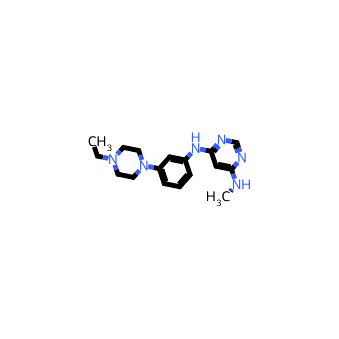 CCN1CCN(c2cccc(Nc3cc(NC)ncn3)c2)CC1